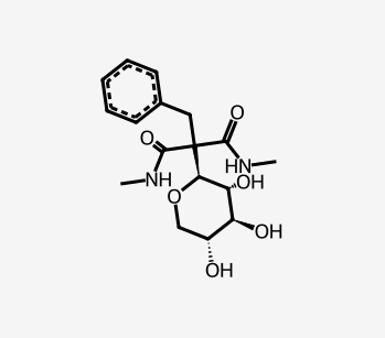 CNC(=O)C(Cc1ccccc1)(C(=O)NC)[C@@H]1OC[C@@H](O)[C@H](O)[C@H]1O